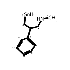 CNCC([CH2][SnH])c1ccccc1